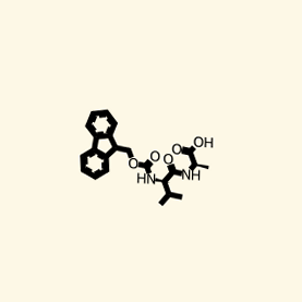 CC(C)[C@@H](NC(=O)OCC1c2ccccc2-c2ccccc21)C(=O)N[C@H](C)C(=O)O